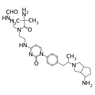 CC(Cc1ccc(-n2ccc(NCCN(CCNC=O)C(=O)C(C)(C)N)nc2=O)cc1)N1CC2CCC(N)C2C1